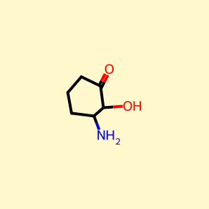 NC1CCCC(=O)C1O